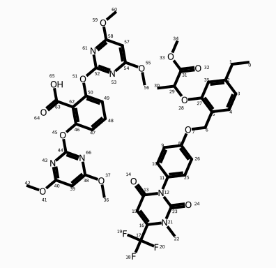 CCc1ccc(COc2ccc(-n3c(=O)cc(C(F)(F)F)n(C)c3=O)cc2)c(OC(C)C(=O)OC)c1.COc1cc(OC)nc(Oc2cccc(Oc3nc(OC)cc(OC)n3)c2C(=O)O)n1